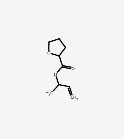 C=CC(C)OC(=O)C1CCCO1